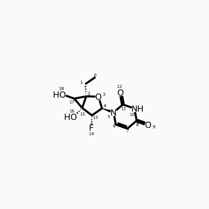 CC[C@]12O[C@@H](n3ccc(=O)[nH]c3=O)[C@H](F)[C@@]1(O)C2O